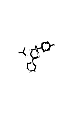 Cc1ccc(S(=O)(=O)N[C@@H](CC(C)C)C(=O)N2CCOCC2)cc1